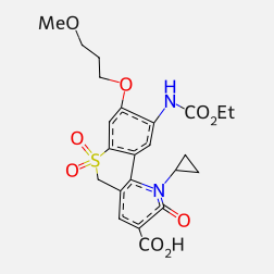 CCOC(=O)Nc1cc2c(cc1OCCCOC)S(=O)(=O)Cc1cc(C(=O)O)c(=O)n(C3CC3)c1-2